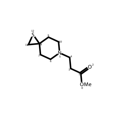 COC(=O)CCN1CCC2(CC1)CS2